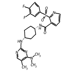 Cc1cnc(N[C@H]2CC[C@@H](NC(=O)c3cccnc3S(=O)(=O)c3ccc(F)c(F)c3)CC2)nc1N(C)C